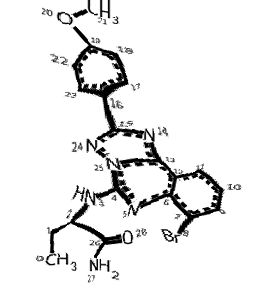 CC[C@@H](Nc1nc2c(Br)cccc2c2nc(-c3ccc(OC)cc3)nn12)C(N)=O